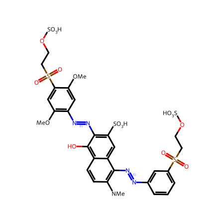 CNc1ccc2c(O)c(/N=N/c3cc(OC)c(S(=O)(=O)CCOS(=O)(=O)O)cc3OC)c(S(=O)(=O)O)cc2c1/N=N/c1cccc(S(=O)(=O)CCOS(=O)(=O)O)c1